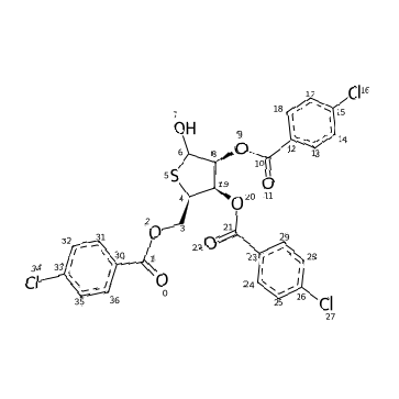 O=C(OC[C@H]1SC(O)[C@@H](OC(=O)c2ccc(Cl)cc2)[C@H]1OC(=O)c1ccc(Cl)cc1)c1ccc(Cl)cc1